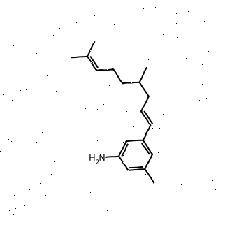 CC(C)=CCCC(C)C/C=C/c1cc(C)cc(N)c1